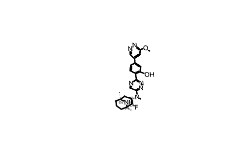 COc1cc(-c2ccc(-c3ncc(N(C)[C@H]4C[C@]5(C)CCC[C@@](C)(N5)[C@H]4F)nn3)c(O)c2)cnn1